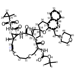 CC(C)(C)OC(=O)N[C@H]1CCCCC/C=C\[C@@H]2C[C@@]2(C(=O)NS(=O)(=O)C2(C)CC2)NC(=O)[C@@H]2C[C@]3(CCc4c(c(CN5CCOCC5)nc5ccccc45)O3)CN2C1=O